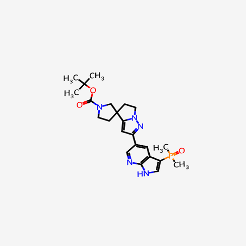 CC(C)(C)OC(=O)N1CCC2(CCn3nc(-c4cnc5[nH]cc(P(C)(C)=O)c5c4)cc32)C1